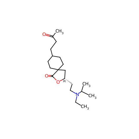 CCN(CC[C@H]1CC2(CCC(CCC(C)=O)CC2)C(=O)O1)C(C)C